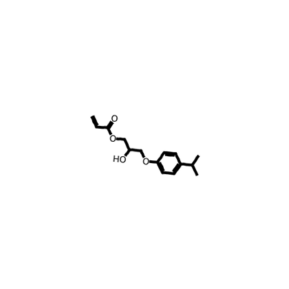 C=CC(=O)OCC(O)COc1ccc(C(C)C)cc1